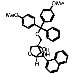 COc1ccc(C(OC[C@@]23CO[C@@H]([C@H](c4cccc5ccccc45)O2)[C@@H]3O)(c2ccccc2)c2ccc(OC)cc2)cc1